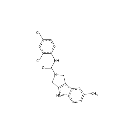 Cc1ccc2[nH]c3c(c2c1)CN(C(=O)Nc1ccc(Cl)cc1Cl)C3